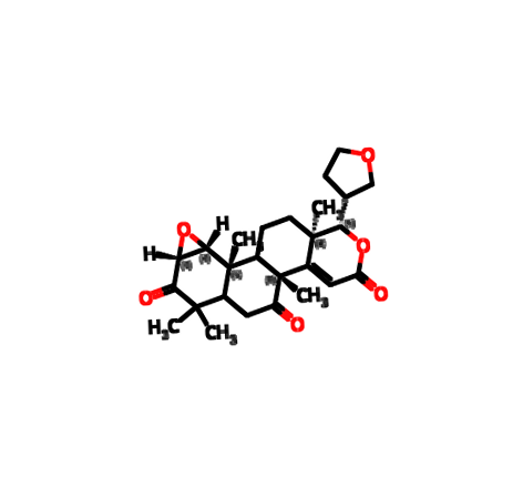 CC1(C)C(=O)[C@@H]2O[C@@H]2[C@@]2(C)C1CC(=O)[C@@]1(C)C3=CC(=O)O[C@@H](C4CCOC4)[C@]3(C)CCC12